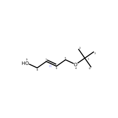 CC(C)(C)OC/C=C/CO